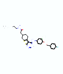 COCCN(C)C(=O)CC1CCc2c(sc3ncnc(Nc4ccc(OCc5ccc(F)cc5)c(Cl)c4)c23)C1